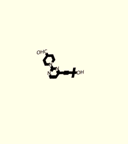 CC(C)(O)C#Cc1ccnc(N2CCC(C=O)CC2)n1